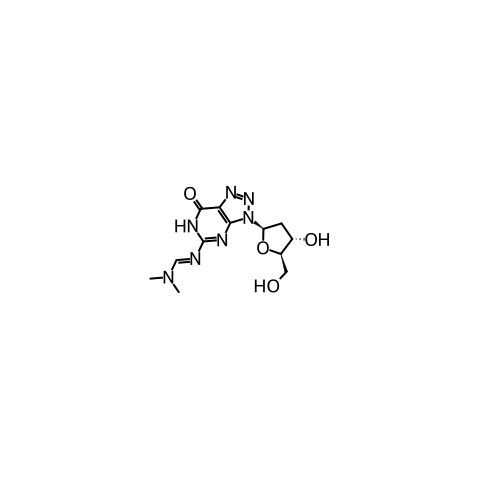 CN(C)C=Nc1nc2c(nnn2[C@H]2C[C@H](O)[C@@H](CO)O2)c(=O)[nH]1